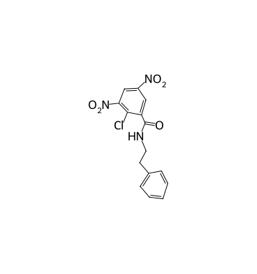 O=C(NCCc1ccccc1)c1cc([N+](=O)[O-])cc([N+](=O)[O-])c1Cl